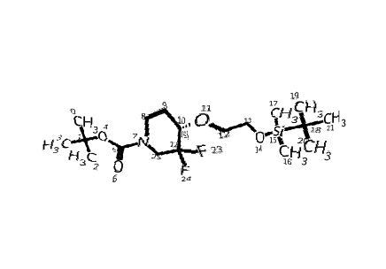 CC(C)(C)OC(=O)N1CC[C@H](OCCO[Si](C)(C)C(C)(C)C)C(F)(F)C1